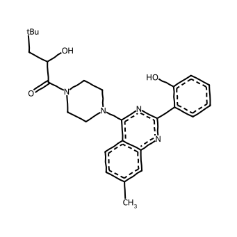 Cc1ccc2c(N3CCN(C(=O)C(O)CC(C)(C)C)CC3)nc(-c3ccccc3O)nc2c1